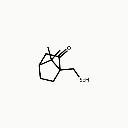 CC1(C)C2CCC1(C[SeH])C(=O)C2